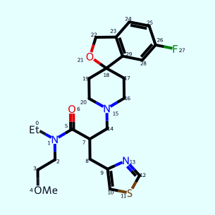 CCN(CCOC)C(=O)C(Cc1cscn1)CN1CCC2(CC1)OCc1ccc(F)cc12